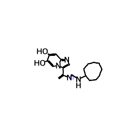 C=C(/N=C/NC1CCCCCCCC1)c1cnc2cc(O)c(O)cn12